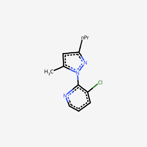 CCCc1cc(C)n(-c2ncccc2Cl)n1